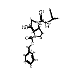 CC(C)NC(=O)N1CC(O)=C2C1CCN2C(=O)OCc1ccccc1